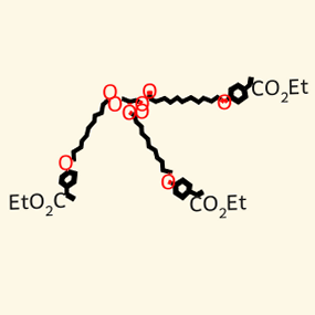 C=C(C(=O)OCC)c1ccc(OCCCCCCCCCCC(=O)OCC(COC(=O)CCCCCCCCCCOc2ccc(C(=C)C(=O)OCC)cc2)OC(=O)CCCCCCCCCCOc2ccc(C(=C)C(=O)OCC)cc2)cc1